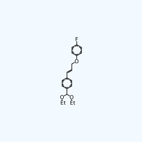 CCOC(OCC)c1ccc(C=CCOc2ccc(F)cc2)cc1